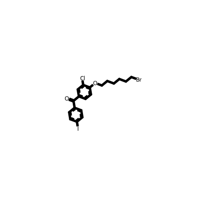 O=C(c1ccc(I)cc1)c1ccc(OCCCCCCBr)c(Cl)c1